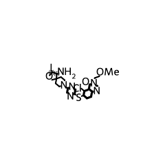 COCCn1cnc2ccc(Sc3cnc(N4CCC5(CC4)CO[C@@H](I)[C@H]5N)cn3)c(Cl)c2c1=O